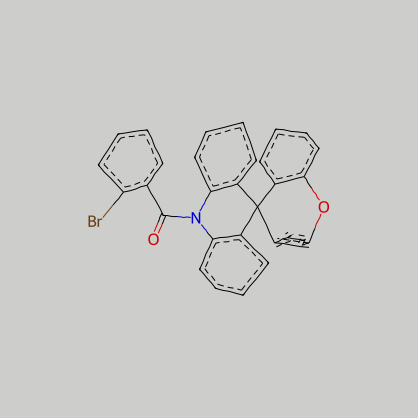 O=C(c1ccccc1Br)N1c2ccccc2C2(c3ccccc3Oc3ccccc32)c2ccccc21